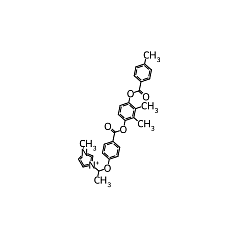 Cc1ccc(C(=O)Oc2ccc(OC(=O)c3ccc(OC(C)[n+]4ccn(C)c4)cc3)c(C)c2C)cc1